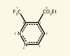 CCOC(=O)c1ccnnc1C(F)(F)F